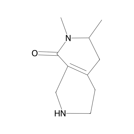 CC1CC2=C(CNCC2)C(=O)N1C